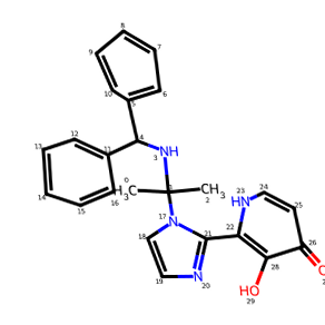 CC(C)(NC(c1ccccc1)c1ccccc1)n1ccnc1-c1[nH]ccc(=O)c1O